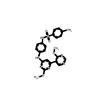 COc1nc(Nc2ccc(NS(=O)(=O)c3ccc(C)cc3)cc2)cc(-c2cncnc2OC)n1